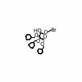 O[C@@H]1C(OCCBr)O[C@H](COCc2ccccc2)[C@@H](OCc2ccccc2)[C@@H]1OCc1ccccc1